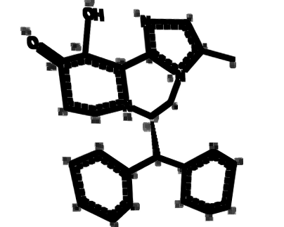 Cc1cnc2n1C[C@H](C(c1ccccc1)c1ccccc1)n1ccc(=O)c(O)c1-2